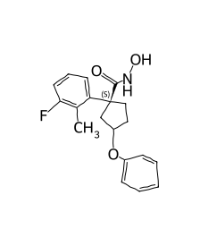 Cc1c(F)cccc1[C@]1(C(=O)NO)CCC(Oc2ccccc2)C1